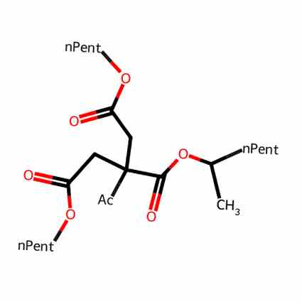 CCCCCOC(=O)CC(CC(=O)OCCCCC)(C(C)=O)C(=O)OC(C)CCCCC